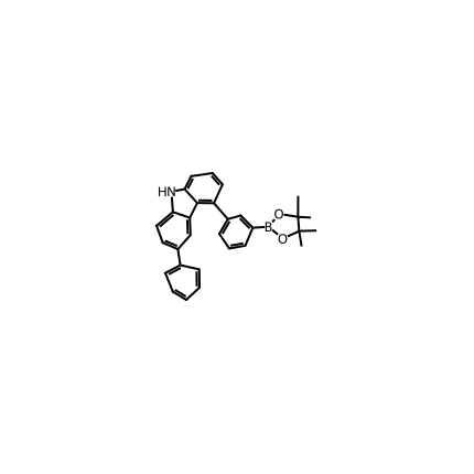 CC1(C)OB(c2cccc(-c3cccc4[nH]c5ccc(-c6ccccc6)cc5c34)c2)OC1(C)C